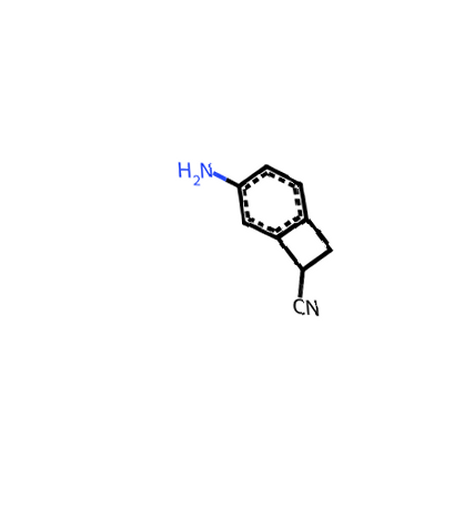 N#CC1Cc2ccc(N)cc21